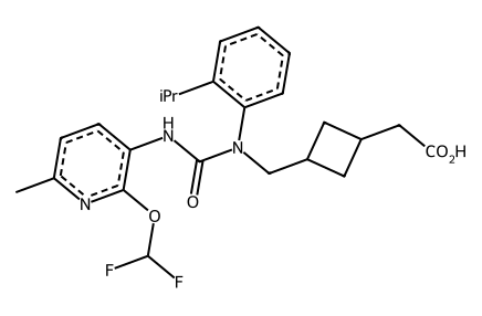 Cc1ccc(NC(=O)N(CC2CC(CC(=O)O)C2)c2ccccc2C(C)C)c(OC(F)F)n1